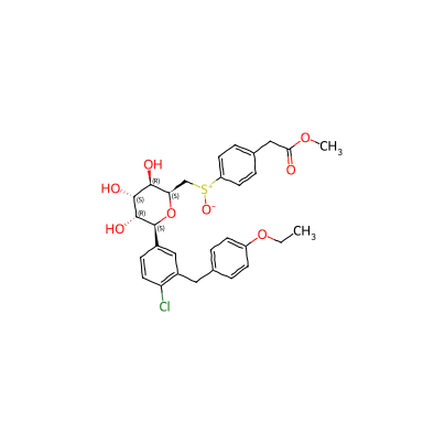 CCOc1ccc(Cc2cc([C@@H]3O[C@H](C[S+]([O-])c4ccc(CC(=O)OC)cc4)[C@H](O)[C@@H](O)[C@H]3O)ccc2Cl)cc1